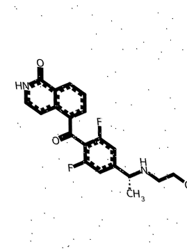 C[C@@H](NCCO)c1cc(F)c(C(=O)c2cccc3c(=O)[nH]ccc23)c(F)c1